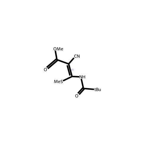 COC(=O)/C(C#N)=C(/NC(=O)C(C)(C)C)SC